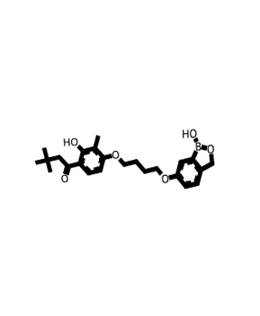 Cc1c(OCCCCOc2ccc3c(c2)B(O)OC3)ccc(C(=O)CC(C)(C)C)c1O